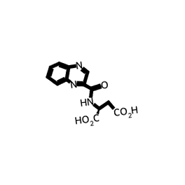 O=C(O)C[C@H](NC(=O)c1cnc2ccccc2n1)C(=O)O